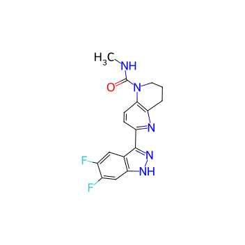 CNC(=O)N1CCCc2nc(-c3n[nH]c4cc(F)c(F)cc34)ccc21